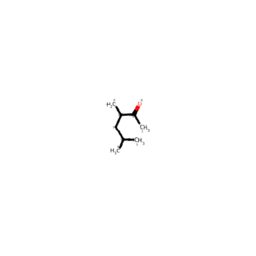 [CH2]C(CC(C)C)C(C)=O